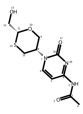 CC(=O)Nc1ccn([C@H]2CO[C@@H](CO)SC2)c(=O)n1